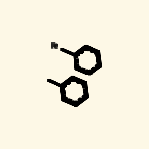 Cc1ccccc1.Cc1ccccc1.[Fe]